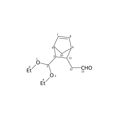 CCOC(OCC)C1C2C=CC(C2)C1CC=O